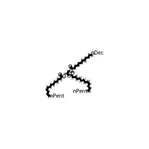 CCCCC/C=C\C/C=C\CCCCCCCC(=O)OC[C@H](COC(=O)CCCCCCCCCCCCCCCCCCCCC)OC(=O)CCCCCCC/C=C\C/C=C\CCCCC